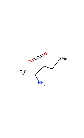 CSCC[C@H](N)C(=O)O.O=C=O